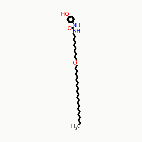 CCCCCCCCCCCCCCCCCCCCCCOCCCCCCCCCCNC(=O)Nc1ccc(O)cc1